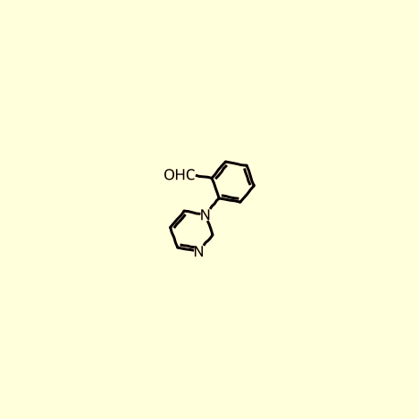 O=Cc1ccccc1N1C=CC=NC1